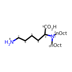 CCCCCCCCN(CCCCCCCC)C(CCCCN)C(=O)O